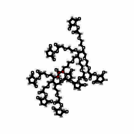 O=C(COCCOCC(OCCOCC(=O)ON1C(=O)CCC1=O)C(OCCOCC(=O)ON1C(=O)CCC1=O)C(COCCCCOCC(COCC(=O)ON1C(=O)CCC1=O)C(COCC(=O)ON1C(=O)CCC1=O)C(CCOCC(=O)ON1C(=O)CCC1=O)COCC(=O)ON1C(=O)CCC1=O)OCCOCC(=O)ON1C(=O)CCC1=O)ON1C(=O)CCC1=O